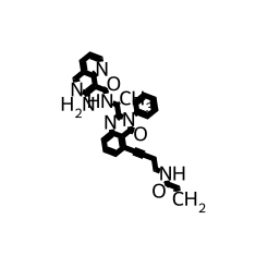 C=CC(=O)NCCC#Cc1cccc2nc([C@H](C)NC(=O)c3c(N)ncc4cccnc34)n(-c3ccccc3)c(=O)c12